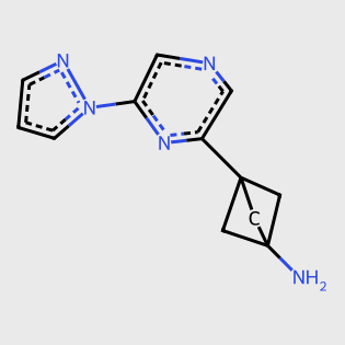 NC12CC(c3cncc(-n4cccn4)n3)(C1)C2